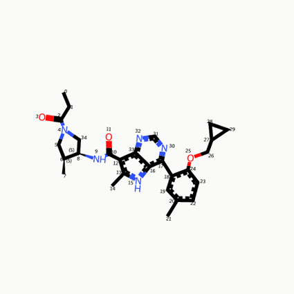 CCC(=O)N1C[C@H](C)[C@H](NC(=O)c2c(C)[nH]c3c(-c4cc(C)ccc4OCC4CC4)ncnc23)C1